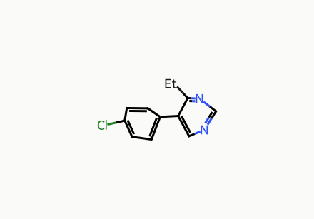 CCc1ncncc1-c1ccc(Cl)cc1